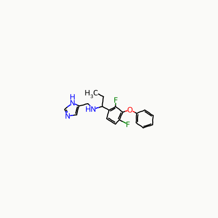 CCC(NCc1cnc[nH]1)c1ccc(F)c(Oc2ccccc2)c1F